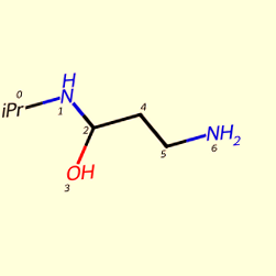 CC(C)NC(O)CCN